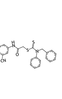 N#Cc1cccc(NC(=O)CSC(=S)N(Cc2ccccc2)c2ccccc2)c1